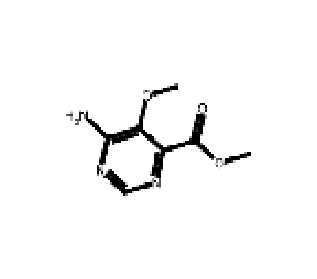 COC(=O)c1ncnc(N)c1OC